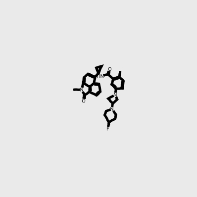 Cc1ccc(N2CC(N3CCC(F)CC3)C2)cc1C(=O)NC1(c2ccc3c4c(cccc24)C(=O)N3C)CC1